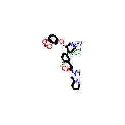 Cl.O=C(Cc1cc([C@@H]2CCNC[C@H]2COc2ccc3c(c2)OCO3)ccc1F)NCc1ccccn1